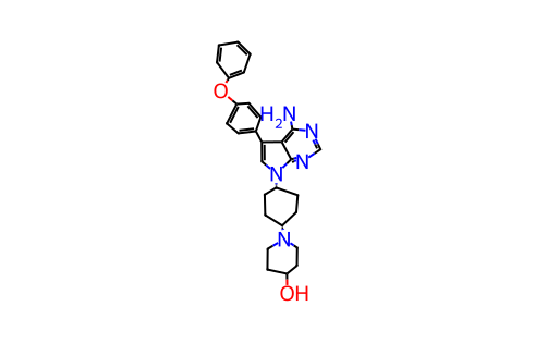 Nc1ncnc2c1c(-c1ccc(Oc3ccccc3)cc1)cn2[C@H]1CC[C@@H](N2CCC(O)CC2)CC1